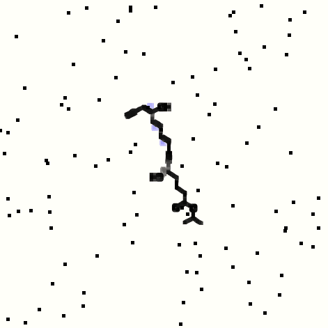 C#C\C=C(O)/C=C/C=C/C#C[C@@H](O)CCCC(=O)OC(C)C